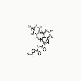 CCOC(=O)CC(=O)c1nc2cccc(N3CCN(C)CC3)c2n1C